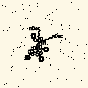 CCCCCCCCCCCCC/C=C/[C@@H](Oc1ccccc1)[C@H](CO[C@@H]1O[C@@H]2COC(c3ccccc3)O[C@@H]2[C@H](OC(=O)c2ccccc2)[C@H]1OC(=O)c1ccccc1)NC(=O)CCCCCCCCCCCCCCC